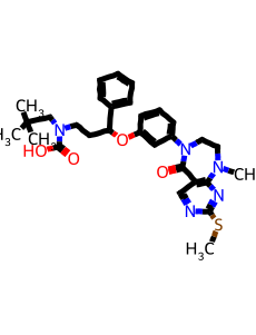 CSc1ncc2c(n1)N(C)CCN(c1cccc(OC(CCN(CC(C)(C)C)C(=O)O)c3ccccc3)c1)C2=O